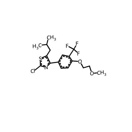 COCCOc1ccc(-c2nc(Cl)sc2CC(C)C)cc1C(F)(F)F